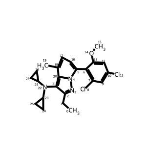 CCc1nn2c(-c3c(Cl)cc(Cl)cc3OC)ccc(C)c2c1N(C1CC1)C1CC1